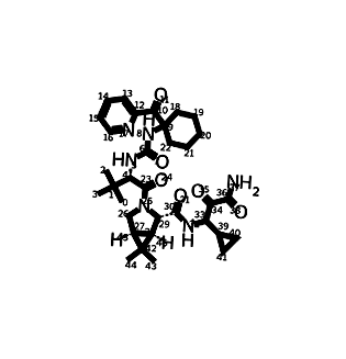 CC(C)(C)[C@H](NC(=O)NC1(C(=O)c2ccccn2)CCCCC1)C(=O)N1C[C@H]2[C@@H]([C@H]1C(=O)NC(C(=O)C(N)=O)C1CC1)C2(C)C